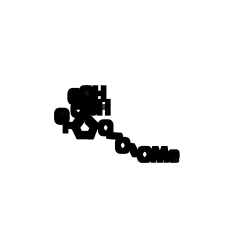 COCCOCCOc1ccc(I=O)c(OP(=O)(O)O)c1